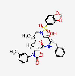 CC[C@H](C)CN(C[C@@H](O)[C@H](Cc1ccccc1)NC(=O)[C@@H]1CN(c2cccc(C)c2)C(=O)O1)S(=O)(=O)c1ccc2c(c1)OCO2